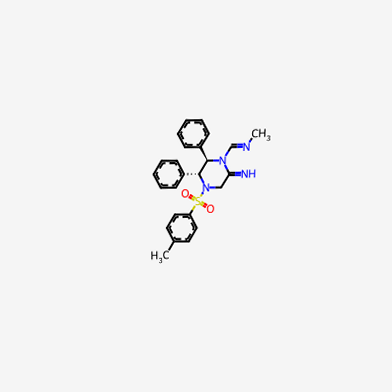 C/N=C/N1C(=N)CN(S(=O)(=O)c2ccc(C)cc2)[C@H](c2ccccc2)[C@H]1c1ccccc1